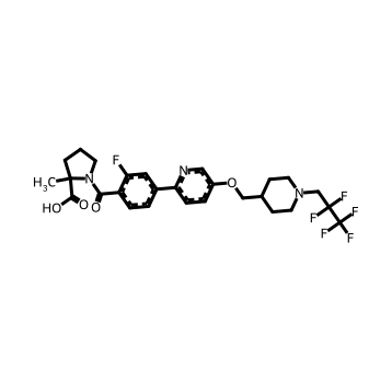 CC1(C(=O)O)CCCN1C(=O)c1ccc(-c2ccc(OCC3CCN(CC(F)(F)C(F)(F)F)CC3)cn2)cc1F